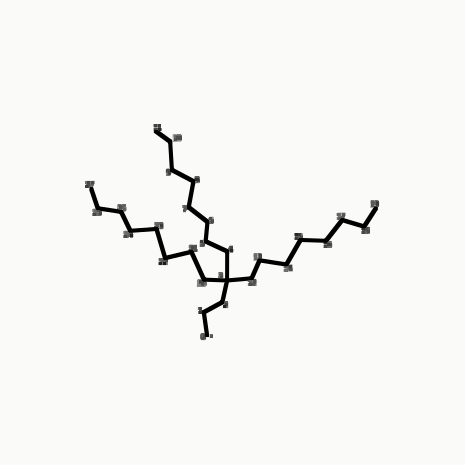 [CH2]CCC(CCCCCCCC)(CCCCCCCC)CCCCCCCC